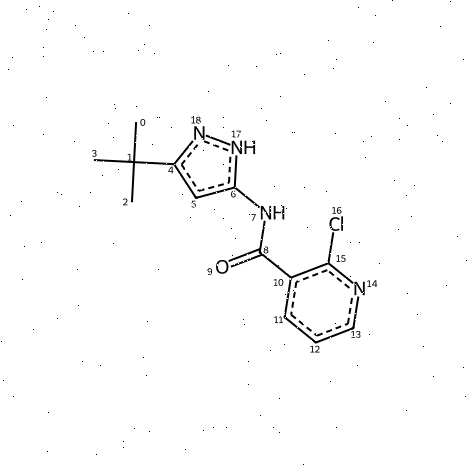 CC(C)(C)c1cc(NC(=O)c2cccnc2Cl)[nH]n1